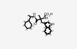 CC(NC(=O)C(C)(Cc1c[nH]c2ccccc12)NC(=O)O)C1CCCCC1